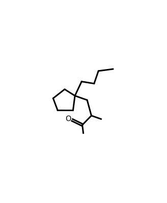 CCCCC1(CC(C)C(C)=O)CCCC1